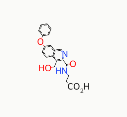 O=C(O)CCNC(=O)c1ncc2cc(Oc3ccccc3)ccc2c1CO